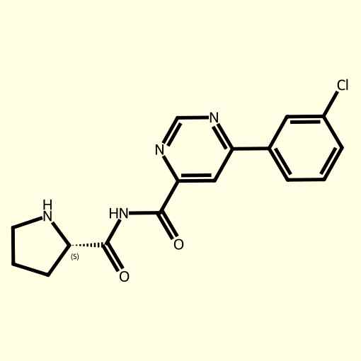 O=C(NC(=O)[C@@H]1CCCN1)c1cc(-c2cccc(Cl)c2)ncn1